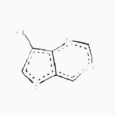 Clc1csc2cncnc12